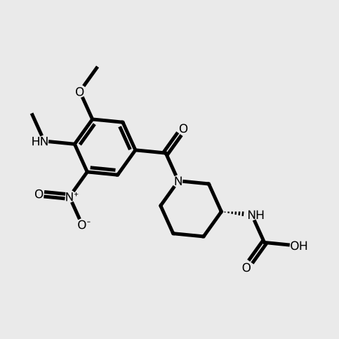 CNc1c(OC)cc(C(=O)N2CCC[C@@H](NC(=O)O)C2)cc1[N+](=O)[O-]